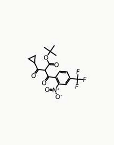 CC(C)(C)OC(=O)C(C(=O)c1ccc(C(F)(F)F)cc1[N+](=O)[O-])C(=O)C1CC1